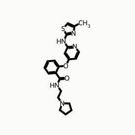 Cc1csc(Nc2cc(Oc3ccccc3C(=O)NCCN3CCCC3)ccn2)n1